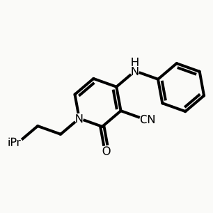 CC(C)CCn1ccc(Nc2ccccc2)c(C#N)c1=O